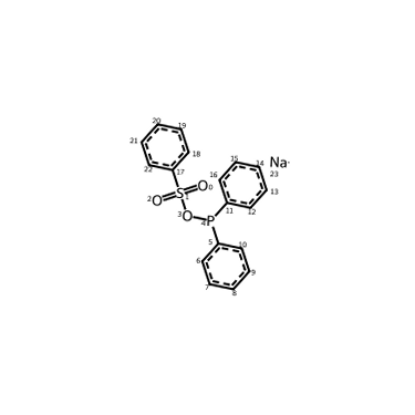 O=S(=O)(OP(c1ccccc1)c1ccccc1)c1ccccc1.[Na]